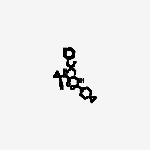 N#CC1(NC(=O)[C@H](CC(F)(F)Cc2cccnc2)NC(=O)N2CCC3(CC2)CC3)CC1